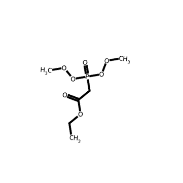 CCOC(=O)CP(=O)(OOC)OOC